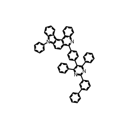 c1ccc(-c2cccc(-c3nc(-c4ccccc4)c(-c4ccc(-c5nc6ccccc6c6c5ccc5c6c6ccccc6n5-c5ccccc5)cc4)c(-c4ccccc4)n3)c2)cc1